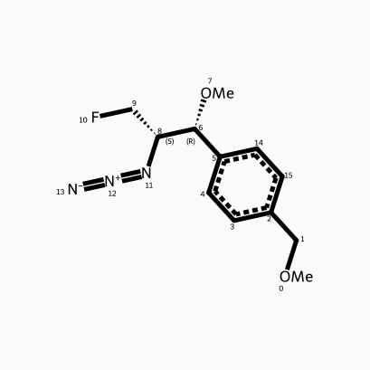 COCc1ccc([C@@H](OC)[C@@H](CF)N=[N+]=[N-])cc1